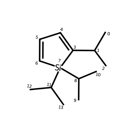 CC(C)C1=CC=C[Si]1(C(C)C)C(C)C